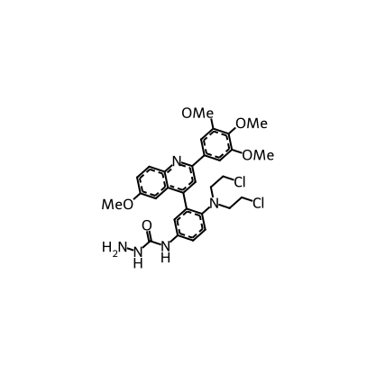 COc1ccc2nc(-c3cc(OC)c(OC)c(OC)c3)cc(-c3cc(NC(=O)NN)ccc3N(CCCl)CCCl)c2c1